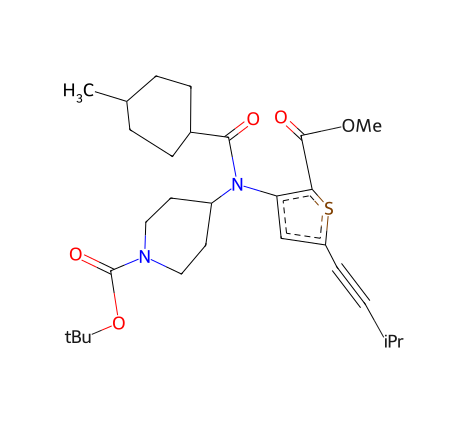 COC(=O)c1sc(C#CC(C)C)cc1N(C(=O)C1CCC(C)CC1)C1CCN(C(=O)OC(C)(C)C)CC1